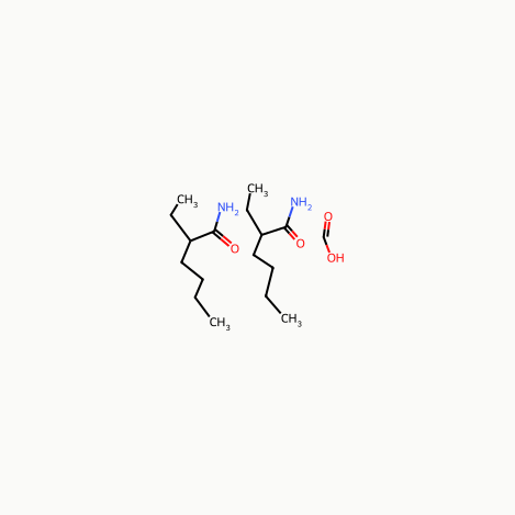 CCCCC(CC)C(N)=O.CCCCC(CC)C(N)=O.O=CO